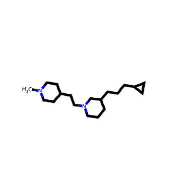 CN1CCC(CCN2CCCC(CCCC3CC3)C2)CC1